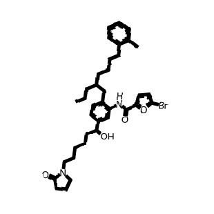 CCCC(CCCCc1ccccc1C)Cc1ccc(C(O)CCCCCN2CCCC2=O)cc1NC(=O)c1ccc(Br)o1